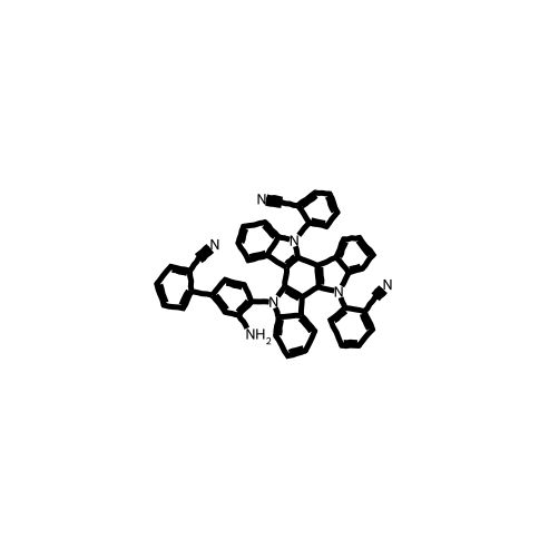 N#Cc1ccccc1-c1ccc(-n2c3ccccc3c3c2c2c4ccccc4n(-c4ccccc4C#N)c2c2c4ccccc4n(-c4ccccc4C#N)c32)c(N)c1